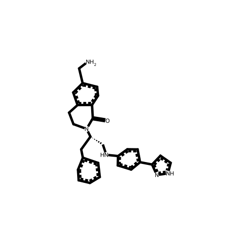 NCc1ccc2c(c1)CCN([C@H](CNc1ccc(-c3cc[nH]n3)cc1)Cc1ccccc1)C2=O